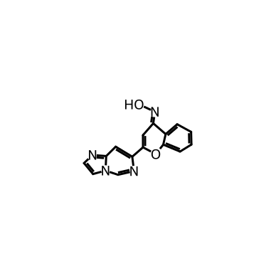 ON=c1cc(-c2cc3nccn3cn2)oc2ccccc12